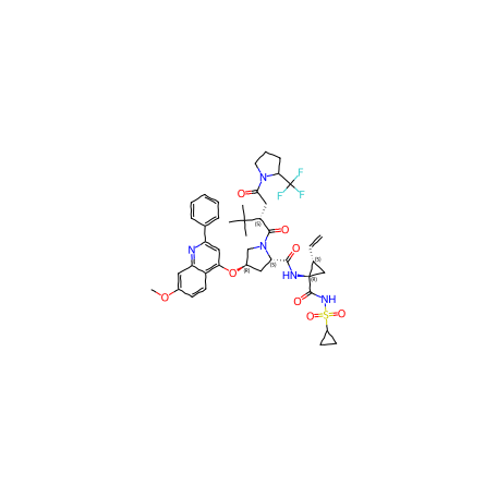 C=C[C@@H]1C[C@]1(NC(=O)[C@@H]1C[C@@H](Oc2cc(-c3ccccc3)nc3cc(OC)ccc23)CN1C(=O)[C@@H](CC(=O)N1CCCC1C(F)(F)F)C(C)(C)C)C(=O)NS(=O)(=O)C1CC1